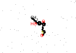 CCCCCC(O)c1ccc(C2C(=O)CC[C@@H]2CCCC2=CCC(C=O)S2)cc1